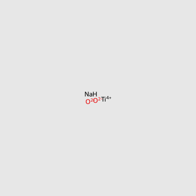 [NaH].[O-2].[O-2].[Ti+4]